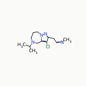 C/N=C\Cc1nn2c(c1Cl)CN(C(C)C)CCC2